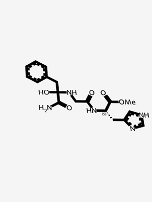 COC(=O)[C@H](Cc1c[nH]cn1)NC(=O)CNC(O)(Cc1ccccc1)C(N)=O